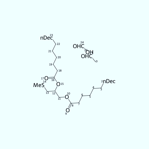 CC=O.CCCCCCCCCCCCCCCC(=O)OCC(CSC)OC(=O)CCCCCCCCCCCCCCC.O=CO